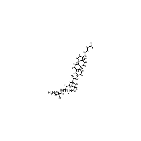 CC(C)CCCCC1CCC2C3CC=C4CC(OC(=O)N(CCCCNCC(C)(C)CN)CC(C)(C)CN)CCC4(C)C3CCC12C